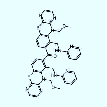 COCN1c2nccnc2Sc2ccc(C(=O)c3ccc4c(c3CNc3ccccn3)N(COC)c3nccnc3S4)c(CNc3ccccn3)c21